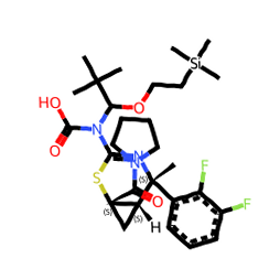 CC(C)(C)C(OCC[Si](C)(C)C)N(C(=O)O)C1=N[C@](C)(c2cccc(F)c2F)[C@@H]2C[C@]2(C(=O)N2CCCC2)S1